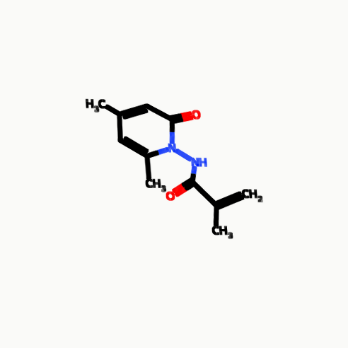 C=C(C)C(=O)Nn1c(C)cc(C)cc1=O